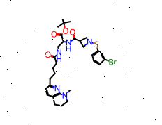 CN1CCCc2ccc(CCCCC(=O)NCC(NC(=O)C3CN(Sc4cccc(Br)c4)C3)C(=O)OC(C)(C)C)nc21